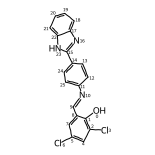 Oc1c(Cl)cc(Cl)cc1/C=N/c1ccc(-c2nc3ccccc3[nH]2)cc1